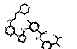 Cc1ccc(C(=O)Nc2ccc(Cl)c(C(F)C(F)F)c2)cc1Nc1nccn1-c1cc(NCCN2CCOCC2)ncn1